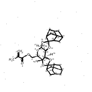 C=C(C)C(=O)OC[C@H]1O[C@H]2OC3(O[C@H]2[C@H]2OC4(O[C@@H]21)C1CC2CC(C1)CC4C2)C1CC2CC(C1)CC3C2